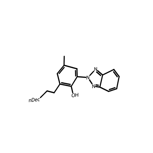 CCCCCCCCCCCCc1cc(C)cc(-n2nc3ccccc3n2)c1O